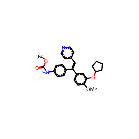 COc1ccc(C(=Cc2ccncc2)c2ccc(NC(=O)OC(C)(C)C)cc2)cc1OC1CCCC1